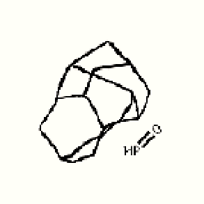 C1C2CC3C4CC5CC(C14)C(C2)C3C5.O=P